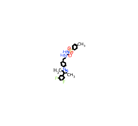 Cc1ccc(S(=O)(=O)NC(=O)NCCc2ccc(-n3nc(C)c(-c4cc(F)cc(F)c4)c3C)cc2)cc1